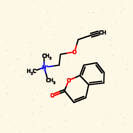 C#CCOCC[N+](C)(C)C.O=c1ccc2ccccc2o1